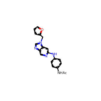 CC(=O)Nc1ccc(Nc2cc3c(cn2)ncn3Cc2ccco2)cc1